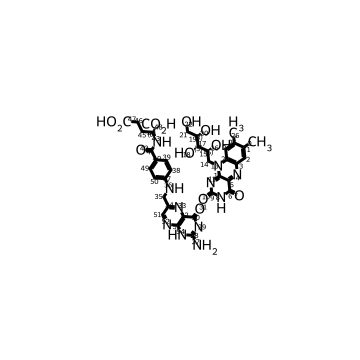 Cc1cc2nc3c(=O)[nH]c(=O)nc-3n(C[C@H](O)[C@H](O)[C@H](O)CO)c2cc1C.Nc1nc(=O)c2nc(CNc3ccc(C(=O)N[C@@H](CCC(=O)O)C(=O)O)cc3)cnc2[nH]1